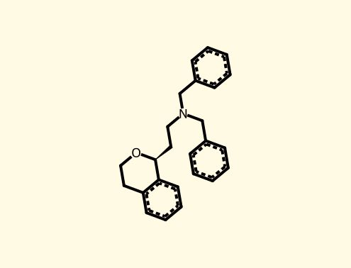 c1ccc(CN(CC[C@@H]2OCCc3ccccc32)Cc2ccccc2)cc1